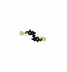 CC1=C(C(C)(C)C2=C(C)C=C3C2=CC2SC(Br)=CC2=C3C)C2=CC3SC(Br)=CC3=C(C)C2=C1